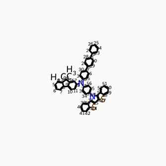 CC1(C)c2ccccc2-c2ccc(N(c3ccc(-c4ccc(-c5ccccc5)cc4)cc3)c3ccc(-n4c5c6ccccc6sc5c5sc6ccccc6c54)cc3)cc21